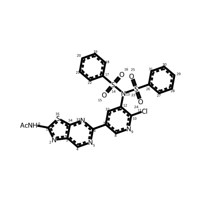 CC(=O)Nc1nc2cnc(-c3cnc(Cl)c(N(S(=O)(=O)c4ccccc4)S(=O)(=O)c4ccccc4)c3)nc2s1